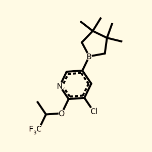 CC(Oc1ncc(B2CC(C)(C)C(C)(C)C2)cc1Cl)C(F)(F)F